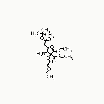 CCOCCOC(C(=O)OCC)(C(=O)OCC)C(N)CCC(=O)OC(C)(C)C